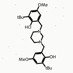 COc1cc(CN2CCCN(Cc3cc(OC)cc(C(C)(C)C)c3O)C2)c(O)c(C(C)(C)C)c1